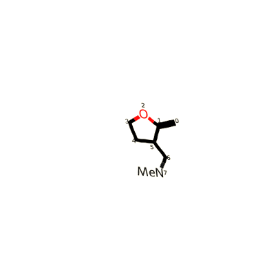 C=C1OCCC1CNC